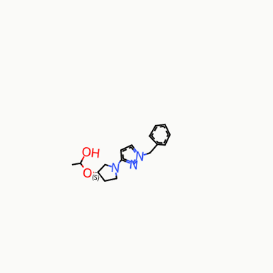 CC(O)O[C@H]1CCN(c2ccn(Cc3ccccc3)n2)C1